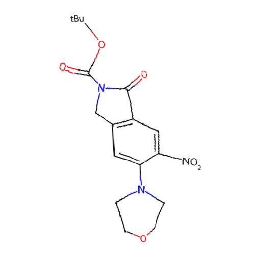 CC(C)(C)OC(=O)N1Cc2cc(N3CCOCC3)c([N+](=O)[O-])cc2C1=O